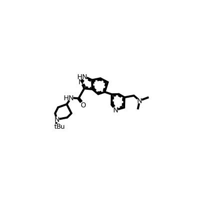 CN(C)Cc1cncc(-c2ccc3[nH]nc(C(=O)NC4CCN(C(C)(C)C)CC4)c3c2)c1